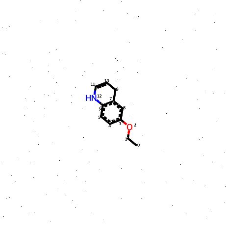 CCOc1ccc2c(c1)CC=CN2